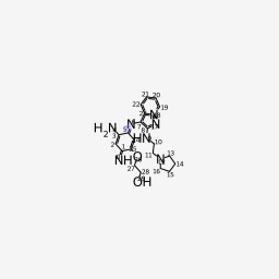 N=C1C=C(N)/C(=N/c2c(NCCN3CCCC3)nn3ccccc23)C=C1OCCO